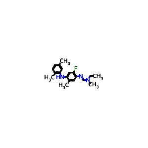 CCN(C)C=Nc1cc(C)c(Nc2cc(C)ccc2C)cc1F